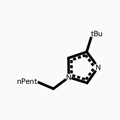 CCCCCCn1cnc(C(C)(C)C)c1